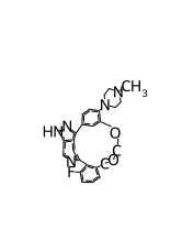 CN1CCN(c2ccc3cc2COCCOCc2cccc(F)c2-c2cc4c-3n[nH]c4cn2)CC1